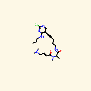 CCCNc1nc(Cl)ncc1C#CCCCNC(=O)C(C)N(C)C(=O)C=CCN(C)C